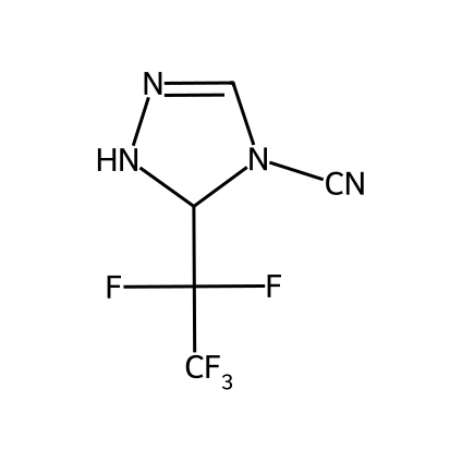 N#CN1C=NNC1C(F)(F)C(F)(F)F